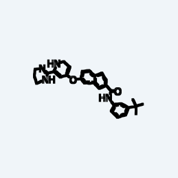 CC(C)(C)c1cccc(NC(=O)c2ccc3ccc(OC4=CCNC(C5=NCCCN5)=C4)cc3c2)c1